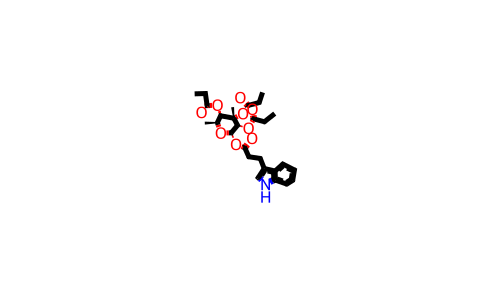 CCC(=O)O[C@@H]1[C@H](OC(=O)CCc2c[nH]c3ccccc23)O[C@@H](C)[C@@H](OC(=O)CC)[C@]1(C)OC(=O)CC